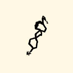 CC1CCC2(CC1)CC1(CCC(C)CC1)C2